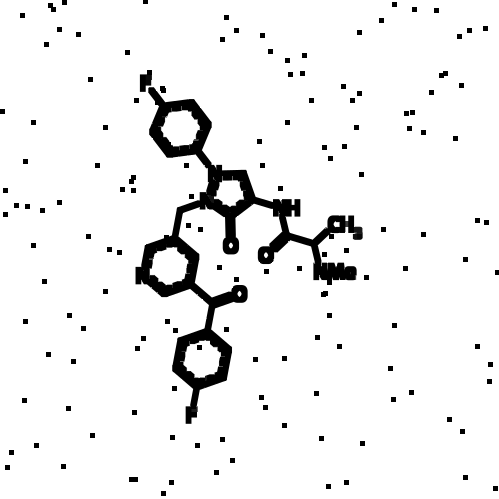 CNC(C)C(=O)Nc1cn(-c2ccc(F)cc2)n(Cc2cncc(C(=O)c3ccc(F)cc3)c2)c1=O